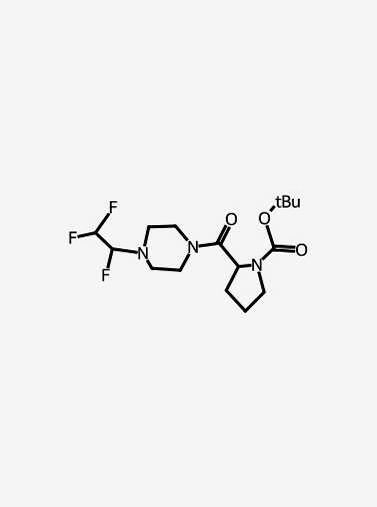 CC(C)(C)OC(=O)N1CCCC1C(=O)N1CCN(C(F)C(F)F)CC1